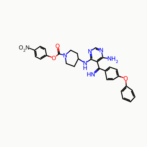 N=C(c1ccc(Oc2ccccc2)cc1)c1c(N)ncnc1NC1CCN(C(=O)Oc2ccc([N+](=O)[O-])cc2)CC1